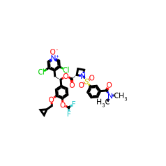 CN(C)C(=O)c1cccc(S(=O)(=O)N2CC[C@H]2C(=O)O[C@@H](Cc2c(Cl)c[n+]([O-])cc2Cl)c2ccc(OC(F)F)c(OCC3CC3)c2)c1